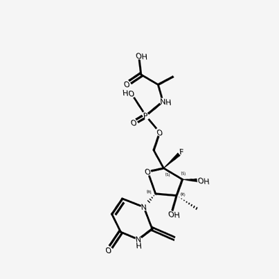 C=C1NC(=O)C=CN1[C@@H]1O[C@](F)(COP(=O)(O)NC(C)C(=O)O)[C@@H](O)[C@@]1(C)O